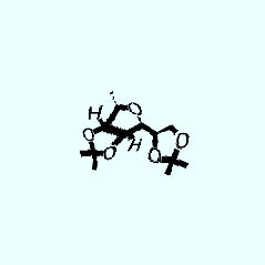 C[C@@H]1O[C@H]([C@H]2COC(C)(C)O2)[C@@H]2OC(C)(C)O[C@@H]21